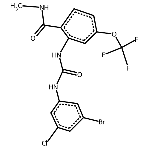 CNC(=O)c1ccc(OC(F)(F)F)cc1NC(=O)Nc1cc(Cl)cc(Br)c1